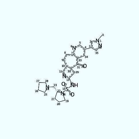 Cn1cc(-c2cnc3ccc4cnc(NS(=O)(=O)N5CCC[C@@H]5CN5CCCC5)cc4c(=O)c3c2)cn1